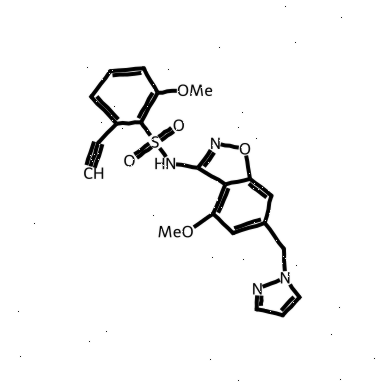 C#Cc1cccc(OC)c1S(=O)(=O)Nc1noc2cc(Cn3cccn3)cc(OC)c12